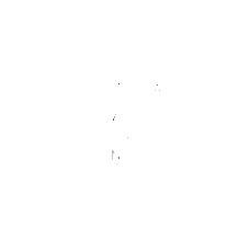 CC(=O)[C@H]1C[C@@H]1c1cccnc1